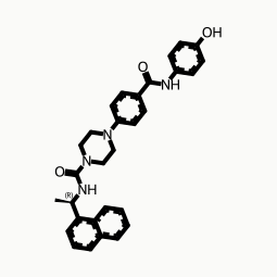 C[C@@H](NC(=O)N1CCN(c2ccc(C(=O)Nc3ccc(O)cc3)cc2)CC1)c1cccc2ccccc12